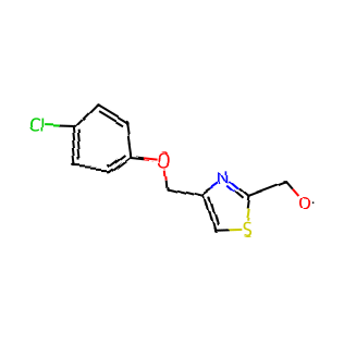 [O]Cc1nc(COc2ccc(Cl)cc2)cs1